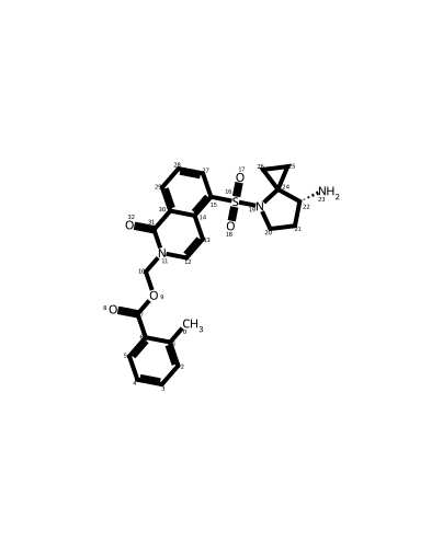 Cc1ccccc1C(=O)OCn1ccc2c(S(=O)(=O)N3CC[C@@H](N)C34CC4)cccc2c1=O